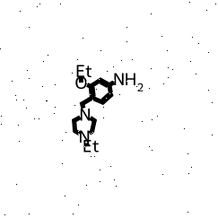 CCOc1cc(N)ccc1CN1CCN(CC)CC1